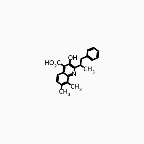 Cc1ccc2c(C(=O)O)c(O)c(C(C)Cc3ccccc3)nc2c1C